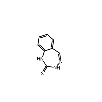 S=C1NN=Cc2ccccc2N1